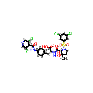 CC1(O)CCN(S(=O)(=O)c2cc(Cl)cc(Cl)c2)[C@@H]1C(=O)N[C@@H](Cc1ccc(NC(=O)c2c(Cl)cncc2Cl)cc1)C(=O)O